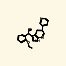 CCOc1ccccc1C(O)c1c[nH]c2ncc(-c3cccnc3)cc12